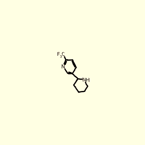 FC(F)(F)c1ccc(C2CCCCN2)cn1